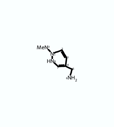 CNN1C=CC(CN)=CN1